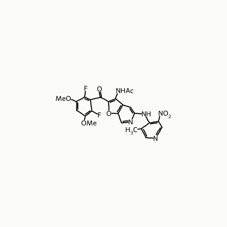 COc1cc(OC)c(F)c(C(=O)c2oc3cnc(Nc4c(C)cncc4[N+](=O)[O-])cc3c2NC(C)=O)c1F